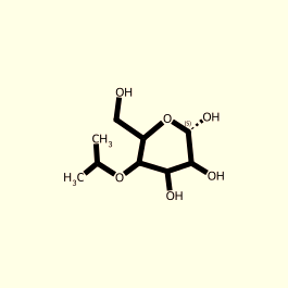 CC(C)OC1C(CO)O[C@H](O)C(O)C1O